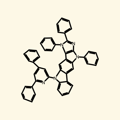 c1ccc(-c2cc(-c3ccccc3)nc(-n3c4ccccc4c4cc5c(cc43)c3c(nc(-c4ccccc4)n3-c3ccccc3)n5-c3ccccc3)c2)cc1